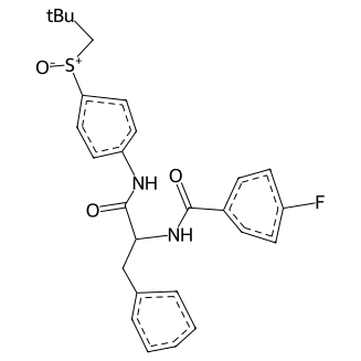 CC(C)(C)C[S+]([O-])c1ccc(NC(=O)C(Cc2ccccc2)NC(=O)c2ccc(F)cc2)cc1